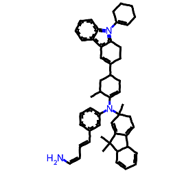 CC1CC(C2=Cc3c(n(C4=CCCCC4)c4ccccc34)CC2)CC=C1N(c1cccc(/C=C/C=C\N)c1)C1(C)C=C2C(=CC1)C1C=CC=CC1C2(C)C